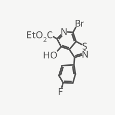 CCOC(=O)c1nc(Br)c2snc(-c3ccc(F)cc3)c2c1O